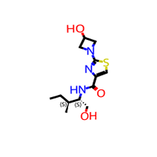 CC[C@H](C)[C@@H](CO)NC(=O)c1csc(N2CC(O)C2)n1